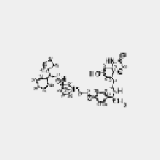 C[C@@H](NCCc1cc(O)cc2c1OCC(=O)N2)c1ccc(OCCC[N+]23CCC(CC2)[C@H](OCC(c2ccccc2)C2CCCC2)C3)cc1